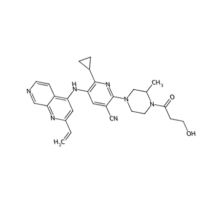 C=Cc1cc(Nc2cc(C#N)c(N3CCN(C(=O)CCO)C(C)C3)nc2C2CC2)c2ccncc2n1